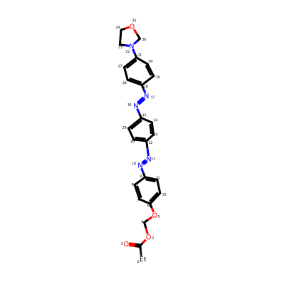 CCC(=O)OCOc1ccc(N=Nc2ccc(N=Nc3ccc(N4CCOC4)cc3)cc2)cc1